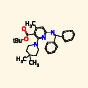 Cc1cc(N=C(c2ccccc2)c2ccccc2)nc(N2CCC(C)(C)CC2)c1C(=O)OC(C)(C)C